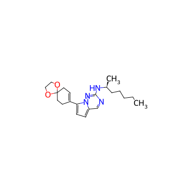 CCCCC[C@H](C)Nc1ncc2ccc(C3=CCC4(CC3)OCCO4)n2n1